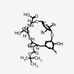 C[C@@H](O)[C@@H]1NC(=O)[C@@H](NC(=O)OC(C)(C)C)Cc2cc(I)c(O)c(c2)Oc2c(Br)cc(cc2Br)C[C@@H](C(=O)O)NC1=O